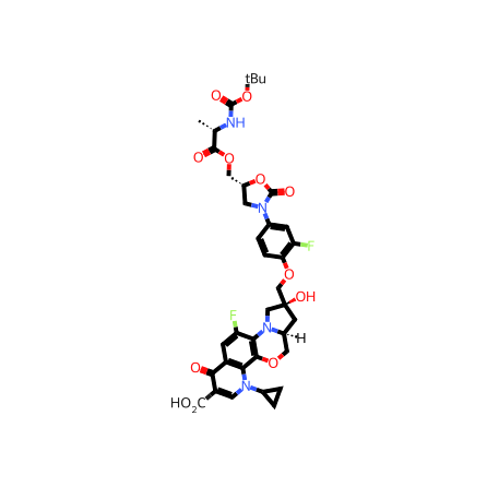 C[C@H](NC(=O)OC(C)(C)C)C(=O)OC[C@H]1CN(c2ccc(OC[C@]3(O)C[C@H]4COc5c(c(F)cc6c(=O)c(C(=O)O)cn(C7CC7)c56)N4C3)c(F)c2)C(=O)O1